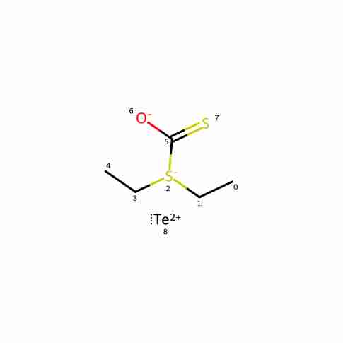 CC[S-](CC)C([O-])=S.[Te+2]